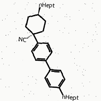 CCCCCCCc1ccc(-c2ccc([C@]3(C#N)CC[C@H](CCCCCCC)CC3)cc2)cc1